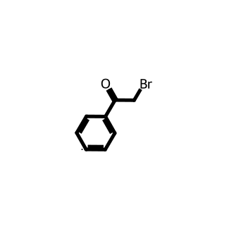 O=C(CBr)c1cc[c]cc1